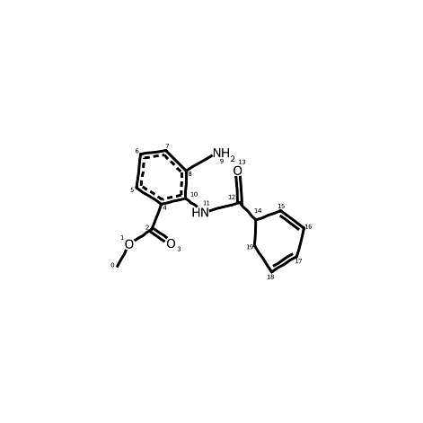 COC(=O)c1cccc(N)c1NC(=O)C1C=CC=CC1